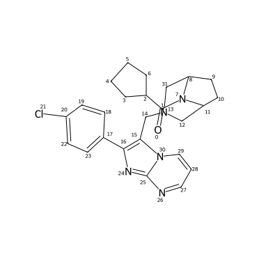 O=C(C1CCCC1)N1C2CCC1CN(Cc1c(-c3ccc(Cl)cc3)nc3ncccn13)C2